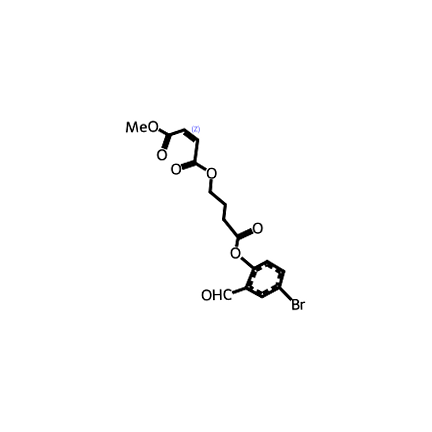 COC(=O)/C=C\C(=O)OCCCC(=O)Oc1ccc(Br)cc1C=O